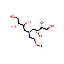 COCCN(C[C@H](O)[C@H](O)CO)C[C@H](O)[C@H](O)CO